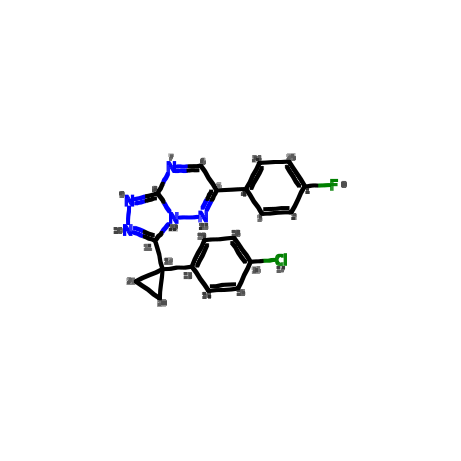 Fc1ccc(-c2cnc3nnc(C4(c5ccc(Cl)cc5)CC4)n3n2)cc1